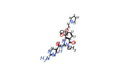 COc1c(OCCN2CCCC2)ccc2c(=O)n(C)c(NC(=O)c3cnc(N)nc3)nc12